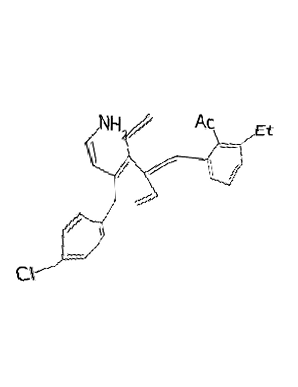 C=CC(=C\c1cccc(CC)c1C(C)=O)/C(C=C)=C(/C=C\N)Cc1ccc(Cl)cc1